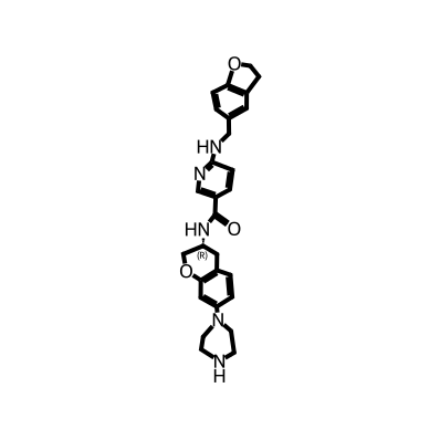 O=C(N[C@H]1COc2cc(N3CCNCC3)ccc2C1)c1ccc(NCc2ccc3c(c2)CCO3)nc1